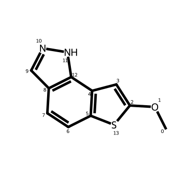 COc1cc2c(ccc3cn[nH]c32)s1